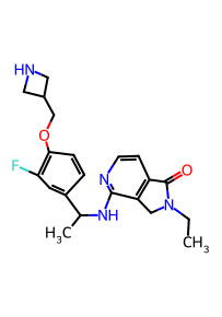 CCN1Cc2c(ccnc2NC(C)c2ccc(OCC3CNC3)c(F)c2)C1=O